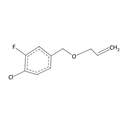 C=CCOCc1ccc(Cl)c(F)c1